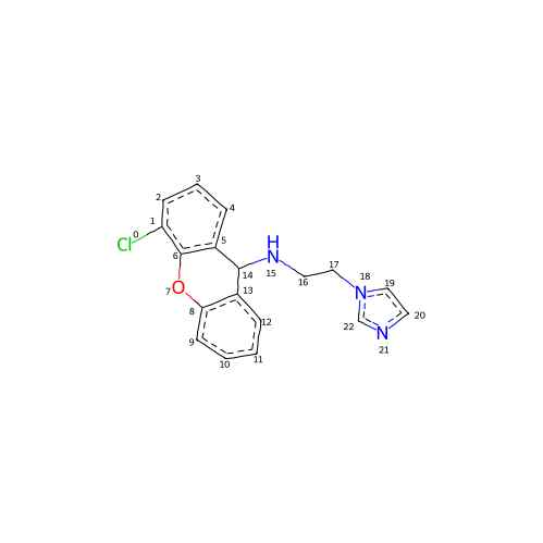 Clc1cccc2c1Oc1ccccc1C2NCCn1ccnc1